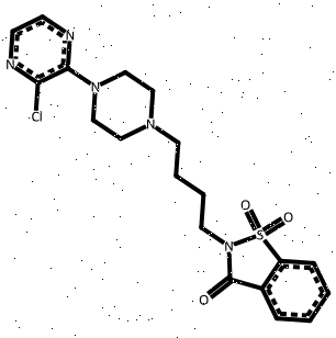 O=C1c2ccccc2S(=O)(=O)N1CCCCN1CCN(c2nccnc2Cl)CC1